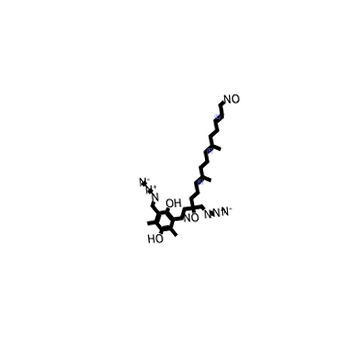 C/C(=C\CC/C(C)=C/CCC(CCc1c(C)c(O)c(C)c(CN=[N+]=[N-])c1O)(CN=[N+]=[N-])N=O)CC/C=C/CN=O